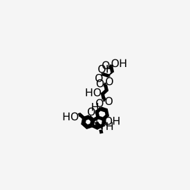 CN1CC[C@]23c4c5ccc(CO)c4O[C@H]2C(OC(=O)[C@@H](O)CC(=O)O[C@H](CC(=O)O)C(=O)O)=CC[C@@]3(O)[C@H]1C5